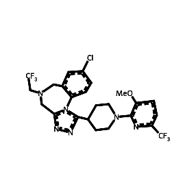 COc1ccc(C(F)(F)F)nc1N1CCC(c2nnc3n2-c2ccc(Cl)cc2CN(CC(F)(F)F)C3)CC1